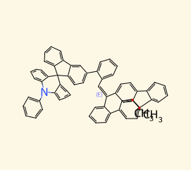 CC1(C)c2ccccc2-c2ccc(/C(=C\c3ccccc3-c3ccc4c(c3)-c3ccccc3C43c4ccccc4N(c4ccccc4)c4ccccc43)c3ccccc3-c3ccccc3)cc21